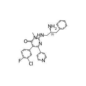 Cn1c(NC[C@@H](N)Cc2ccccc2)nc(-c2ccncc2)c(-c2ccc(F)c(Cl)c2)c1=O